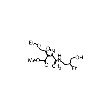 C=C(NCC(CC)CO)c1noc(COCC)c1C(=O)OC